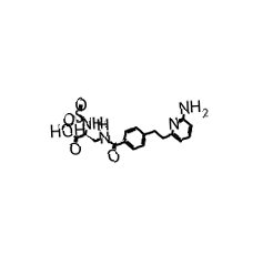 Nc1cccc(CCc2ccc(C(=O)NC[C@H](N[SH](=O)=O)C(=O)O)cc2)n1